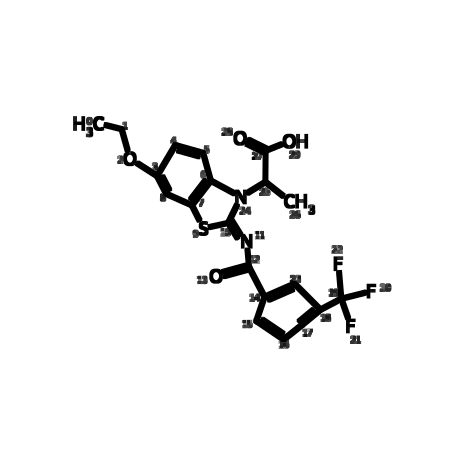 CCOc1ccc2c(c1)sc(=NC(=O)c1cccc(C(F)(F)F)c1)n2C(C)C(=O)O